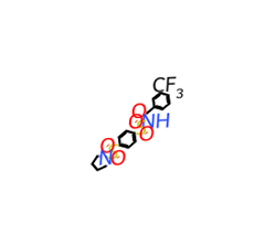 O=C(NS(=O)(=O)c1ccc(S(=O)(=O)N2CCCC2)cc1)c1cccc(C(F)(F)F)c1